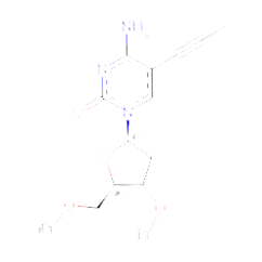 CC#Cc1cn([C@H]2CC(OC(C)C)[C@@H](COC(C)C)O2)c(=O)nc1N